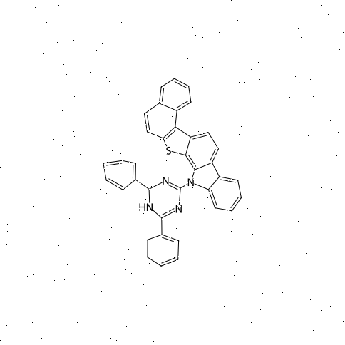 C1=CCCC(C2=NC(n3c4ccccc4c4ccc5c(sc6ccc7ccccc7c65)c43)=NC(c3ccccc3)N2)=C1